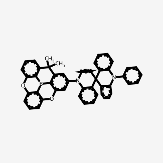 CC1(C)c2cccc3c2B2c4c(cccc4Oc4cc(N5c6ccccc6C6(c7ccccc7N(c7ccccc7)c7ccccc76)c6ccccc65)cc1c42)O3